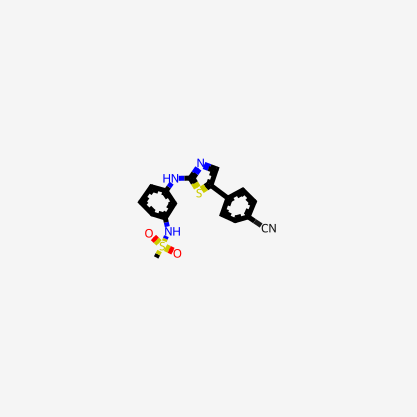 CS(=O)(=O)Nc1cccc(Nc2ncc(-c3ccc(C#N)cc3)s2)c1